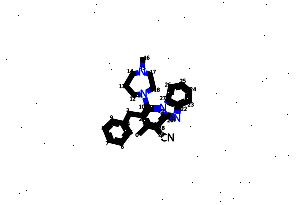 Cc1c(Cc2ccccc2)c(N2CCCN(C)CC2)n2c(nc3ccccc32)c1C#N